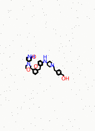 O=c1cc(N2CCOC(c3cccc4c3Oc3ccc(NC5CCN(CCc6ccc(CO)cc6)CC5)cc3C4)C2)cc[nH]1